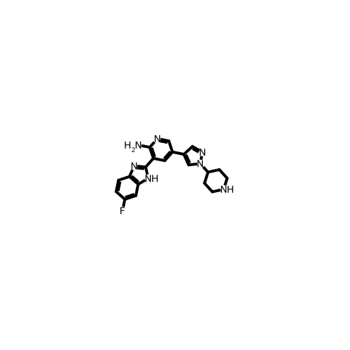 Nc1ncc(-c2cnn(C3CCNCC3)c2)cc1-c1nc2ccc(F)cc2[nH]1